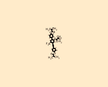 C=C(C)C(=O)Oc1ccc(C#Cc2cc(OC(=O)C(=C)C)c(-c3ccc(OC(=O)C(=C)C)cc3)cc2C(F)(F)F)cc1